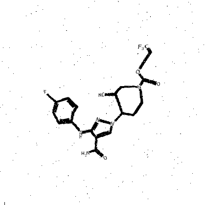 N#CC1CN(C(=O)OCC(F)(F)F)CCC1n1cc(C(N)=O)c(Nc2ccc(F)cc2)n1